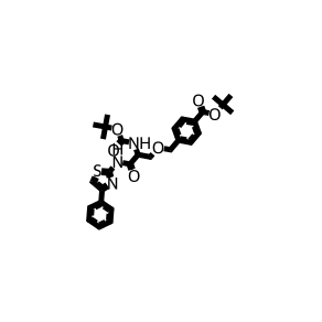 CC(C)(C)OC(=O)NC(COCc1ccc(C(=O)OC(C)(C)C)cc1)C(=O)Nc1nc(-c2ccccc2)cs1